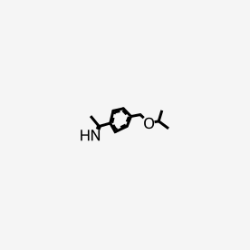 CC(=N)c1ccc(COC(C)C)cc1